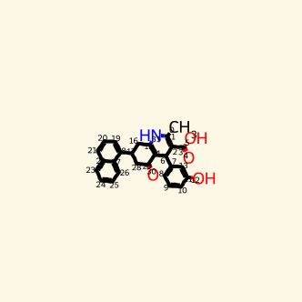 CC1=C(C(=O)O)C(c2cccc(O)c2)C2=C(CC(c3cccc4ccccc34)CC2=O)N1